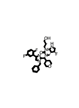 O=C(NC[CH]CO)N(C[C@@H]1CNC[C@@H]1F)[C@@H](c1nc(-c2cc(F)ccc2F)cn1Cc1ccccc1)C1CCOCC1